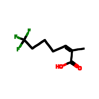 CC(=CCCCC(F)(F)F)C(=O)O